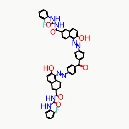 O=C(NC(=O)c1ccc2c(N=Nc3ccc(C(=O)c4ccc(N=Nc5c(O)ccc6cc(C(=O)NC(=O)Nc7ccccc7F)ccc56)cc4)cc3)c(O)ccc2c1)Nc1ccccc1F